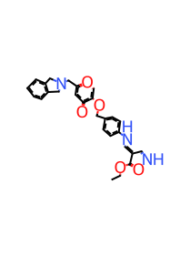 CCOC(=O)/C(C=N)=C/Nc1ccc(COc2coc(CN3Cc4ccccc4C3)cc2=O)cc1